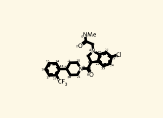 CNC(=O)CN1CC(C(=O)N2CCC(c3ccccc3C(F)(F)F)CC2)c2ccc(Cl)cc21